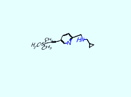 C[Si](C)(C)C#Cc1ccc(CNCC2CC2)nc1